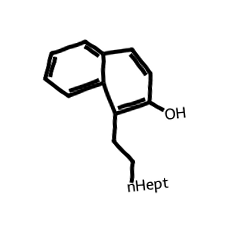 CCCCCCCCCc1c(O)ccc2ccccc12